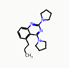 CCCc1cccc2nc(N3CCCC3)nc(N3CCCC3)c12